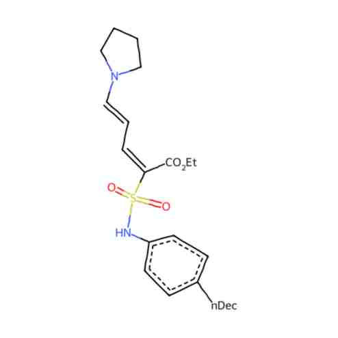 CCCCCCCCCCc1ccc(NS(=O)(=O)C(=CC=CN2CCCC2)C(=O)OCC)cc1